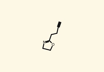 C#CCCC1=NCCO1